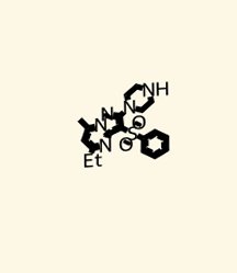 CCc1cc(C)n2nc(N3CCNCC3)c(S(=O)(=O)c3ccccc3)c2n1